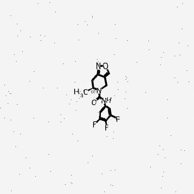 C[C@H]1Cc2nocc2CN1C(=O)Nc1cc(F)c(F)c(F)c1